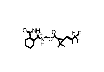 C/C(=C\C1C(C(=O)OCNC(=O)C2=C(C(N)=O)CCCC2)C1(C)C)C(F)(F)F